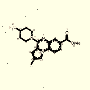 COC(=O)c1ccc2c(c1)nc(N1CCC(C(F)(F)F)CC1)c1cc(C)cn12